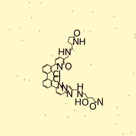 COc1nc(-c2cccc(-c3cccc(-c4ccc5nc(CNC[C@@H](O)CC(=O)N(C)C)cn5n4)c3Cl)c2Cl)ccc1CNC[C@H]1CCC(=O)N1